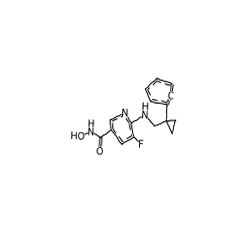 O=C(NO)c1cnc(NCC2(c3ccccc3)CC2)c(F)c1